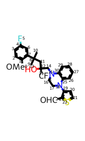 COc1ccc(F)cc1C(C)(C)CC(O)(CN1CCN(c2ccsc2C=O)c2ccccc21)C(F)(F)F